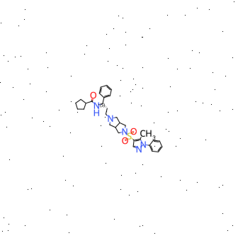 Cc1c(S(=O)(=O)N2CC3CN(CC[C@H](NC(=O)C4CCCC4)c4ccccc4)CC3C2)cnn1-c1ccccc1